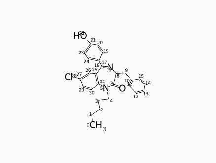 CCCCCN1C(=O)C(Cc2ccccc2)N=C(c2ccc(O)cc2)c2cc(Cl)ccc21